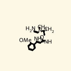 C=C(COC(=N)/C=C(\N)c1ccccc1OC)N(C)/C=C\N